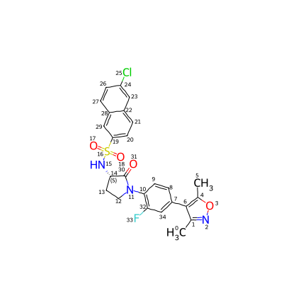 Cc1noc(C)c1-c1ccc(N2CC[C@H](NS(=O)(=O)c3ccc4cc(Cl)ccc4c3)C2=O)c(F)c1